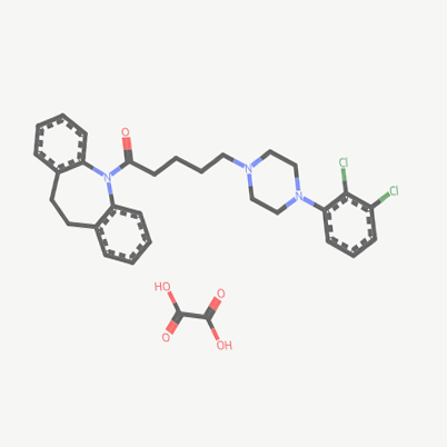 O=C(CCCCN1CCN(c2cccc(Cl)c2Cl)CC1)N1c2ccccc2CCc2ccccc21.O=C(O)C(=O)O